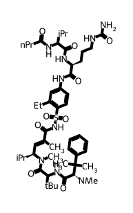 CCCC(=O)NC(C(=O)N[C@@H](CCCNC(N)=O)C(=O)Nc1ccc(S(=O)(=O)NC(=O)/C(C)=C/[C@H](C(C)C)N(C)C(=O)C(NC(=O)[C@@H](NC)C(C)(C)c2ccccc2)C(C)(C)C)c(CC)c1)C(C)C